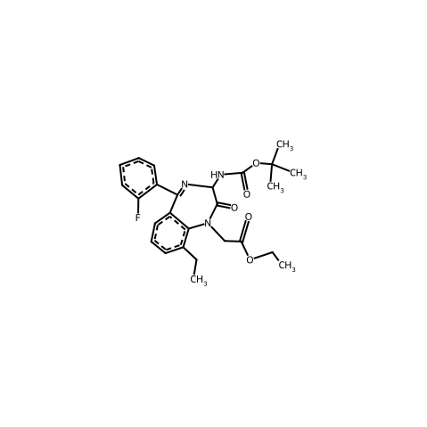 CCOC(=O)CN1C(=O)C(NC(=O)OC(C)(C)C)N=C(c2ccccc2F)c2cccc(CC)c21